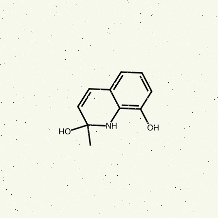 CC1(O)C=Cc2cccc(O)c2N1